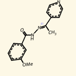 COc1cccc(C(=O)N/N=C(\C)c2ccncc2)c1